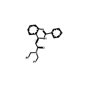 CC(C)CN(CC(C)C)C(=O)/C=C1\NC(c2ccccc2)=Nc2ccccc21